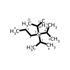 CC[CH][Si](C(C)C)(C(C)C)C(C)C